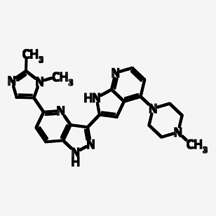 Cc1ncc(-c2ccc3[nH]nc(-c4cc5c(N6CCN(C)CC6)ccnc5[nH]4)c3n2)n1C